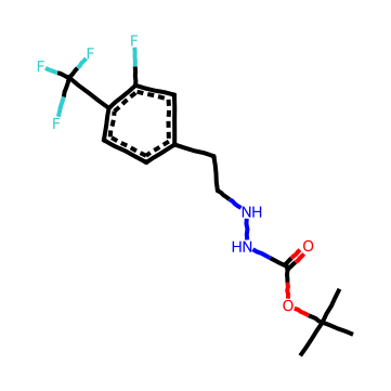 CC(C)(C)OC(=O)NNCCc1ccc(C(F)(F)F)c(F)c1